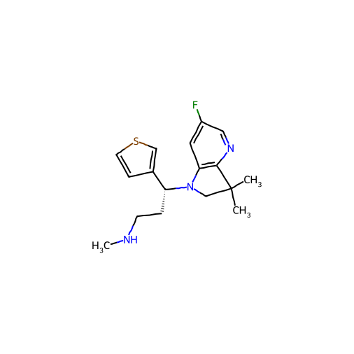 CNCC[C@H](c1ccsc1)N1CC(C)(C)c2ncc(F)cc21